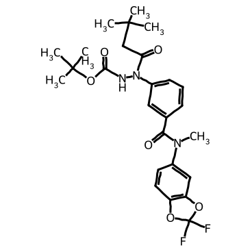 CN(C(=O)c1cccc(N(NC(=O)OC(C)(C)C)C(=O)CC(C)(C)C)c1)c1ccc2c(c1)OC(F)(F)O2